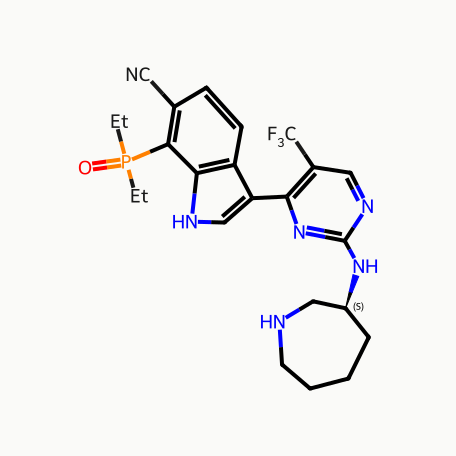 CCP(=O)(CC)c1c(C#N)ccc2c(-c3nc(N[C@H]4CCCCNC4)ncc3C(F)(F)F)c[nH]c12